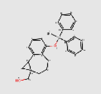 CC(C)(C)[Si](Oc1cccc2c1CCCC1(CO)CC21)(c1ccccc1)c1ccccc1